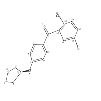 O=C(c1ccc(O[C@H]2CCOC2)cc1)c1cc(I)ccc1Cl